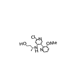 COc1cccnc1-c1cnc(Cl)cc1N[C@@H](C)CCO